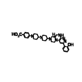 O=C(O)c1ccc(N2CCC(N3CCC(N4CCN5c6cc(-c7ccccc7O)nnc6NC[C@H]5C4)CC3)CC2)cc1